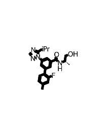 Cc1ccc(-c2cc(C(=O)N[C@@H](C)CO)cc(-n3ncnc3C(C)C)c2)c(F)c1